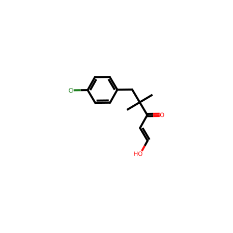 CC(C)(Cc1ccc(Cl)cc1)C(=O)C=CO